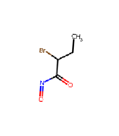 CCC(Br)C(=O)N=O